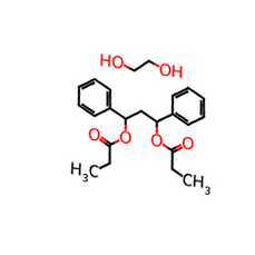 CCC(=O)OC(CC(OC(=O)CC)c1ccccc1)c1ccccc1.OCCO